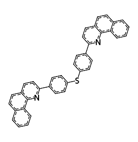 c1ccc2c(c1)ccc1ccc(-c3ccc(Sc4ccc(-c5ccc6ccc7ccccc7c6n5)cc4)cc3)nc12